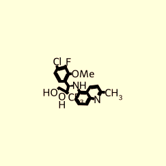 COc1c([C@@H](Nc2cccc3nc(C)ccc23)C(O)(CO)C(F)(F)F)ccc(Cl)c1F